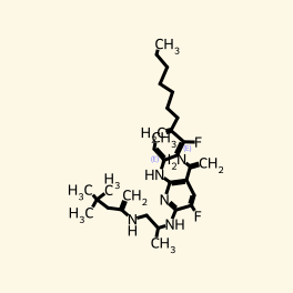 C=C(CC(C)(C)C)NCC(C)Nc1nc(NC(=C/C)/C=C(/F)C(=C)CCCCCCC)c(C(=C)N)cc1F